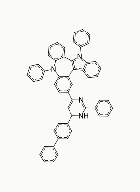 C1=C(c2ccc3c(c2)-c2c(n(-c4ccccc4)c4ccccc24)-c2ccccc2N3c2ccccc2)N=C(c2ccccc2)NC1c1ccc(-c2ccccc2)cc1